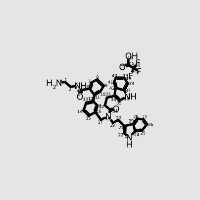 NCCNC(=O)c1ccccc1-c1cccc(CN(CCc2c[nH]c3ccccc23)C(=O)CCc2c[nH]c3ccccc23)c1.O=C(O)C(F)(F)F